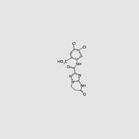 O=C1CCn2nc(C(=O)Nc3cc(Cl)c(Cl)cc3C(=O)O)nc2N1